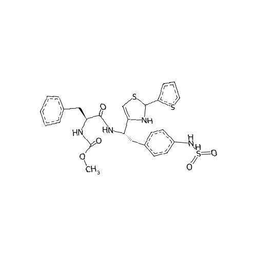 COC(=O)N[C@@H](Cc1ccccc1)C(=O)N[C@@H](Cc1ccc(N[SH](=O)=O)cc1)C1=CSC(c2cccs2)N1